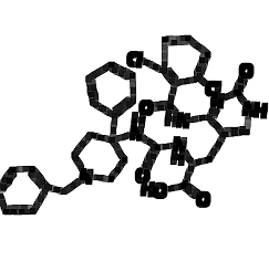 O=C(NC(Cc1c[nH]c(=O)nc1NC(=O)c1c(Cl)cccc1Cl)C(=O)O)NC1(c2ccccc2)CCN(Cc2ccccc2)CC1